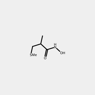 CSCC(C)C(=O)NO